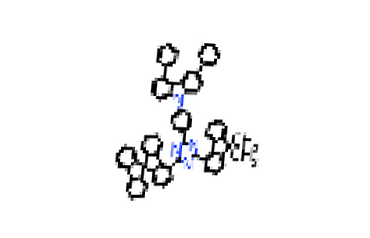 CC1(C)c2ccccc2-c2c(-c3nc(-c4ccc(-n5c6ccc(-c7ccccc7)cc6c6c(-c7ccccc7)cccc65)cc4)nc(-c4cccc5c4-c4ccccc4C54c5ccccc5-c5ccccc54)n3)cccc21